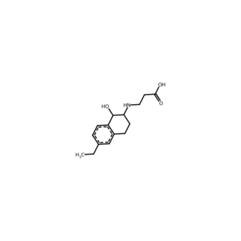 CCc1ccc2c(c1)CCC(NCCC(=O)O)C2O